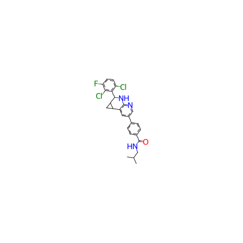 CC(C)CNC(=O)c1ccc(-c2cnc3c(c2)C2CC2C(c2c(Cl)ccc(F)c2Cl)N3)cc1